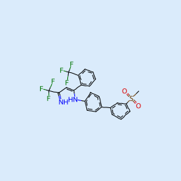 CS(=O)(=O)c1cccc(-c2ccc(N/C(=C\C(=N)C(F)(F)F)c3ccccc3C(F)(F)F)cc2)c1